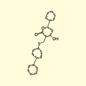 O=c1oc(-c2ccccc2)cc(O)c1CSc1ccc(-c2ccccc2)cc1